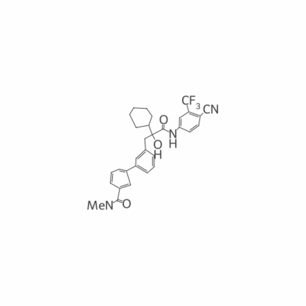 CNC(=O)c1cccc(-c2cccc(CC(O)(C(=O)Nc3ccc(C#N)c(C(F)(F)F)c3)C3CCCCC3)c2)c1